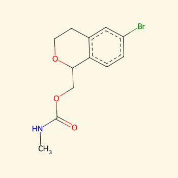 CNC(=O)OCC1OCCc2cc(Br)ccc21